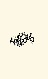 CC(C)(C)C(NC(=O)O)c1cc(Oc2cc(F)ccc2F)ccc1N